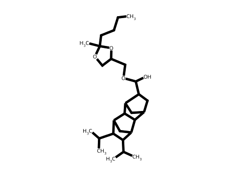 CCCCC1(C)OCC(COC(O)C2CC3CC2C2C4CC(C(C(C)C)C4C(C)C)C32)O1